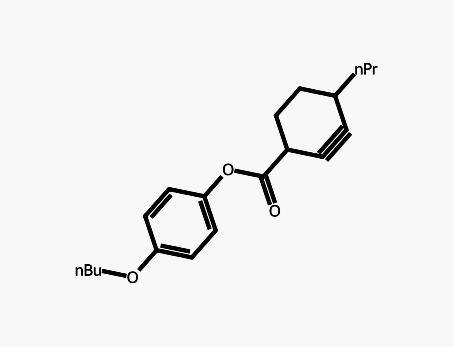 CCCCOc1ccc(OC(=O)C2C#CC(CCC)CC2)cc1